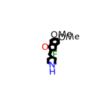 COc1cc2c(cc1OC)C(=O)/C(=C/C1(F)CCNCC1)C2